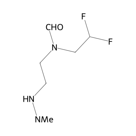 CNNCCN(C=O)CC(F)F